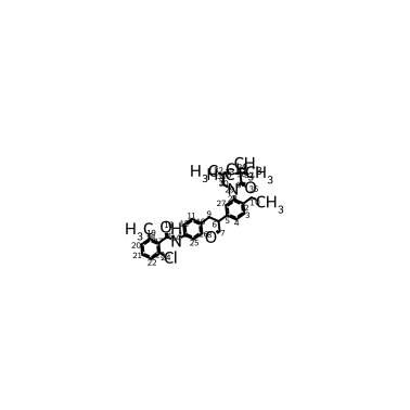 CCc1ccc(C(C=O)Cc2ccc(NC(=O)c3c(C)cccc3Cl)cc2)cc1N(CC(C)C)C(=O)C(C)(C)C